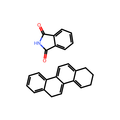 C1=c2c(ccc3c2=CCc2ccccc2-3)CCC1.O=C1NC(=O)c2ccccc21